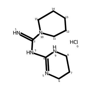 Cl.N=C(NC1=NCCCN1)N1CCCCC1